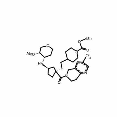 CO[C@@H]1COCC[C@@H]1N[C@@H]1CC[C@](CCC2CCN(C(=O)OC(C)(C)C)CC2)(C(=O)N2CCc3ncc(C(F)(F)F)cc3C2)C1